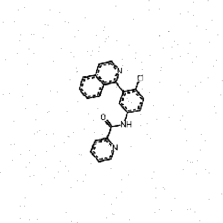 O=C(Nc1ccc(Cl)c(-c2nccc3ccccc23)c1)c1ccccn1